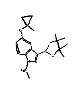 CC1(Oc2ccc3c(c2)c(B2OC(C)(C)C(C)(C)O2)nn3PI)CC1